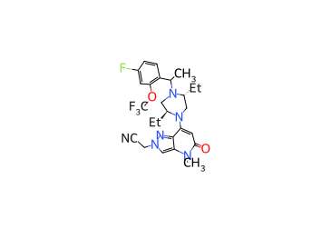 CC[C@H]1CN(C(C)c2ccc(F)cc2OC(F)(F)F)[C@H](CC)CN1c1cc(=O)n(C)c2cn(CC#N)nc12